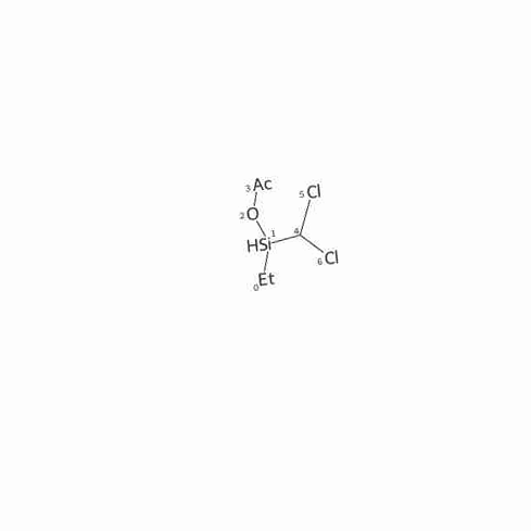 CC[SiH](OC(C)=O)C(Cl)Cl